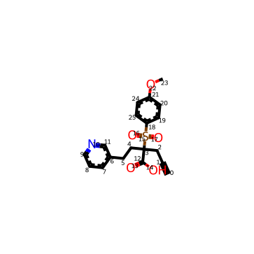 C#CCC(CCc1cccnc1)(C(=O)O)S(=O)(=O)c1ccc(OC)cc1